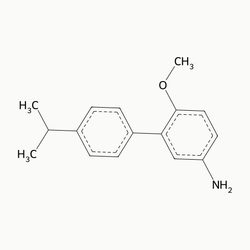 COc1ccc(N)cc1-c1ccc(C(C)C)cc1